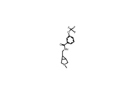 CN1CC2C(CNC(=O)c3cccc(OC(F)(F)F)c3)C2C1